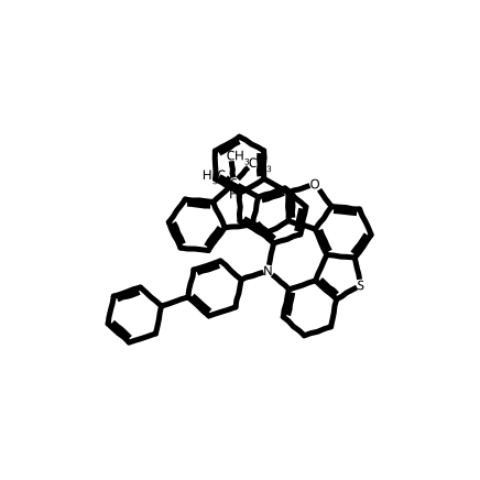 C[SH]1(C)(C)c2ccccc2-c2c(N(C3=CCCc4sc5ccc6oc7c8ccccc8ccc7c6c5c43)C3C=CC(C4C=CC=CC4)=CC3)cccc21